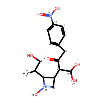 CC(CO)C1C(C(C(=O)Cc2ccc([N+](=O)[O-])cc2)C(O)O)C[NH+]1[O-]